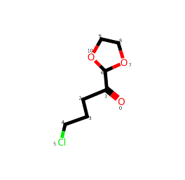 O=C(CCCCl)C1OCCO1